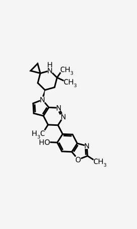 Cc1nc2cc(C3N=Nc4c(ccn4[C@@H]4CC(C)(C)NC5(CC5)C4)C3C)c(O)cc2o1